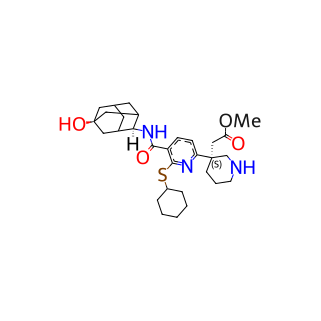 COC(=O)C[C@@]1(c2ccc(C(=O)N[C@H]3C4CC5CC3C[C@@](O)(C5)C4)c(SC3CCCCC3)n2)CCCNC1